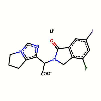 O=C([O-])C(c1ncn2c1CCC2)N1Cc2c(F)cc(I)cc2C1=O.[Li+]